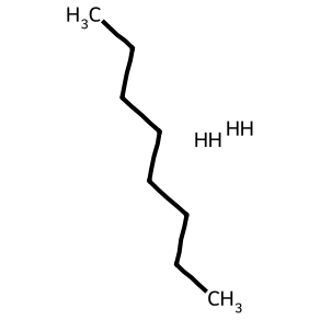 CCCCCCCC.[HH].[HH]